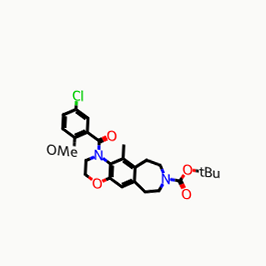 COc1ccc(Cl)cc1C(=O)N1CCOc2cc3c(c(C)c21)CCN(C(=O)OC(C)(C)C)CC3